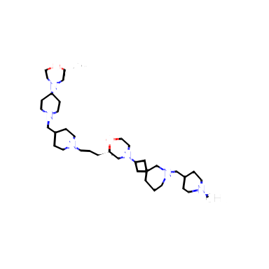 CC(C)[C@@H]1CN(C2CCN(CC3CCN(CCC[C@@H]4CN(C5CC6(CCCN(CC7CCN(C)CC7)C6)C5)CCO4)CC3)CC2)CCO1